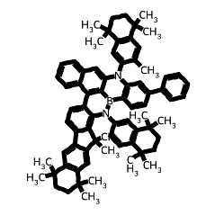 Cc1cc2c(cc1N1c3cc(-c4ccccc4)ccc3B3c4c1cc1ccccc1c4-c1ccc4c(c1N3c1ccc3c(c1)C(C)(C)CCC3(C)C)C(C)(C)c1cc3c(cc1-4)C(C)(C)CCC3(C)C)C(C)(C)CCC2(C)C